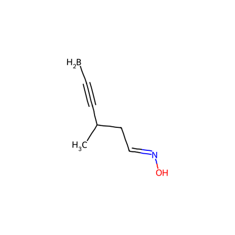 BC#CC(C)CC=NO